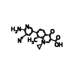 Cc1c(-c2cnc(N)c(C#N)c2)ccc2c(=O)c(C(=O)O)cn(C3CC3)c12